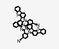 N#Cc1ccc(-n2c3ccccc3c3c4sc5ccccc5c4ccc32)c(-c2nc(-c3ccccc3)nc(-c3cc(C#N)ccc3-n3c4ccccc4c4c5sc6ccccc6c5ccc43)n2)c1